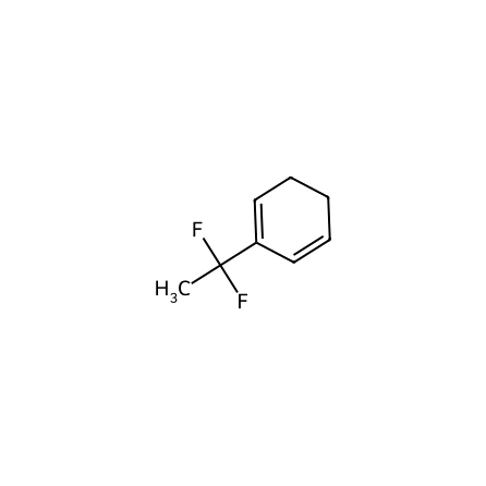 CC(F)(F)C1=CCCC=C1